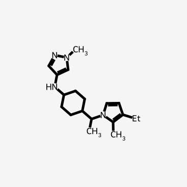 CCc1ccn(C(C)C2CCC(Nc3cnn(C)c3)CC2)c1C